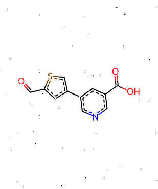 O=Cc1cc(-c2cncc(C(=O)O)c2)cs1